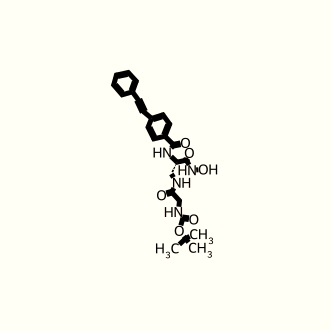 CC(C)(C)OC(=O)NCC(=O)NC[C@H](NC(=O)c1ccc(C#Cc2ccccc2)cc1)C(=O)NO